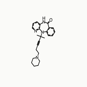 CC(C)(C#CCCN1CCCCC1)N1c2ccccc2C(=O)Nc2cccnc21